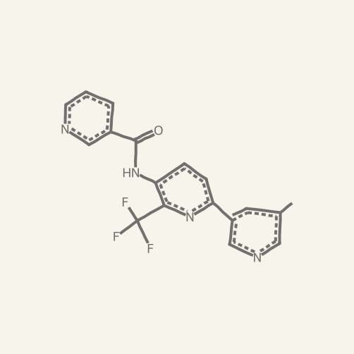 Cc1cncc(-c2ccc(NC(=O)c3cccnc3)c(C(F)(F)F)n2)c1